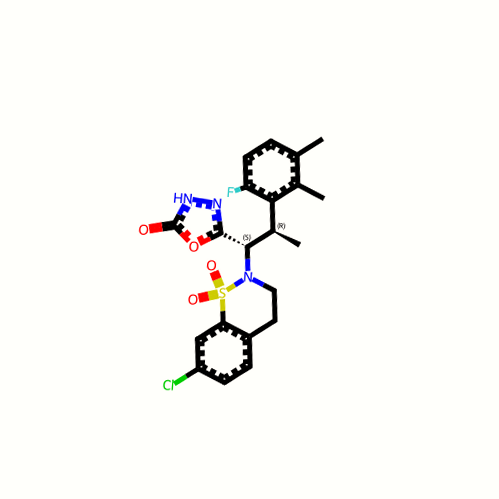 Cc1ccc(F)c([C@@H](C)[C@@H](c2n[nH]c(=O)o2)N2CCc3ccc(Cl)cc3S2(=O)=O)c1C